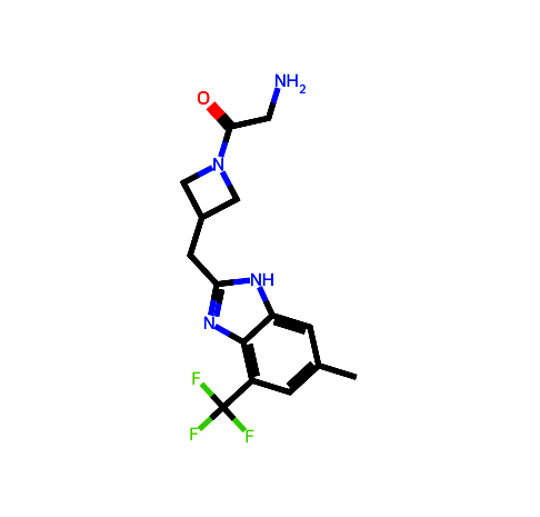 Cc1cc(C(F)(F)F)c2nc(CC3CN(C(=O)CN)C3)[nH]c2c1